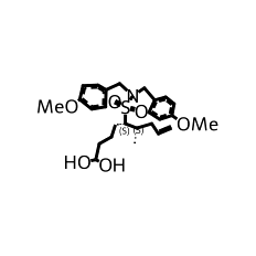 C=CC[C@H](C)[C@H](CCCC(O)O)S(=O)(=O)N(Cc1ccc(OC)cc1)Cc1ccc(OC)cc1